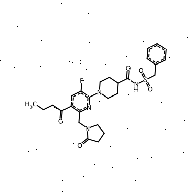 CCCC(=O)c1cc(F)c(N2CCC(C(=O)NS(=O)(=O)Cc3ccccc3)CC2)nc1CN1CCCC1=O